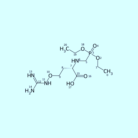 CCOP(=O)(CN[C@@H](CCONC(=N)N)C(=O)O)OCC